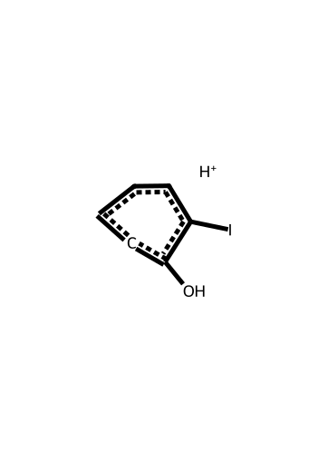 Oc1ccccc1I.[H+]